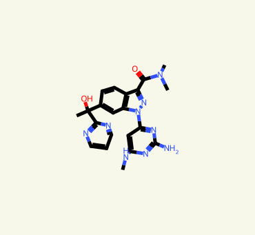 CNc1cc(-n2nc(C(=O)N(C)C)c3ccc(C(C)(O)c4ncccn4)cc32)nc(N)n1